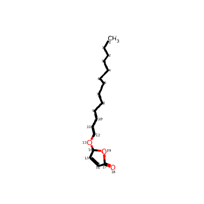 CCCCCCCCCCCCCOC1C=CC(=O)O1